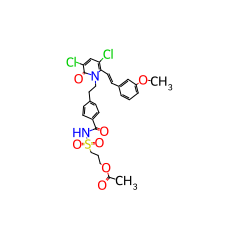 COc1cccc(C=Cc2c(Cl)cc(Cl)c(=O)n2CCc2ccc(C(=O)NS(=O)(=O)CCCOC(C)=O)cc2)c1